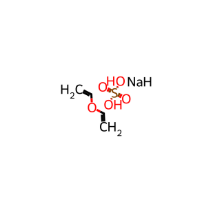 C=COC=C.O=S(=O)(O)O.[NaH]